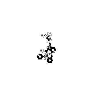 CN(c1ccccc1CNc1nccc2c1c(C(N)=O)nn2COCC[Si](C)(C)C)S(=O)(=O)c1cccnc1